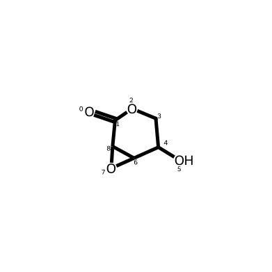 O=C1OCC(O)C2OC12